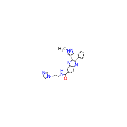 Cn1cc(-c2nc3cc(C(=O)NCCCn4ccnc4)ccc3nc2-c2ccccc2)cn1